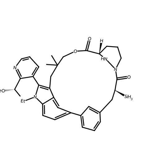 CCn1c(-c2cccnc2[C@H](C)OC)c2c3cc(ccc31)-c1cccc(c1)C[C@H]([SiH3])C(=O)N1CCC[C@H](N1)C(=O)OCC(C)(C)C2